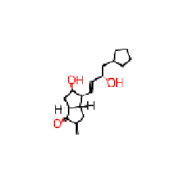 C=C1C[C@H]2[C@H](/C=C/[C@@H](O)CC3CCCC3)[C@H](O)C[C@@H]2C1=O